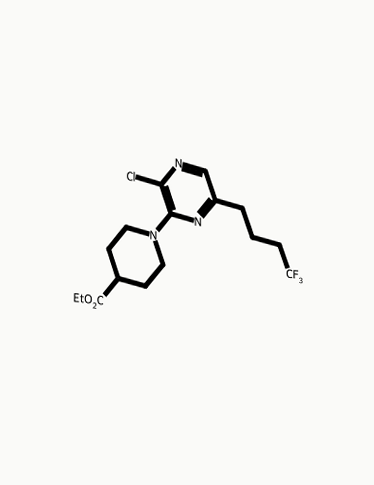 CCOC(=O)C1CCN(c2nc(CCCC(F)(F)F)cnc2Cl)CC1